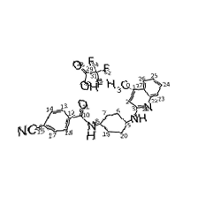 Cc1cc(NC2CCC(NC(=O)c3ccc(C#N)cc3)CC2)nc2ccccc12.O=C(O)C(F)(F)F